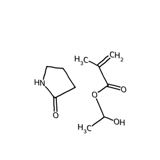 C=C(C)C(=O)OC(C)O.O=C1CCCN1